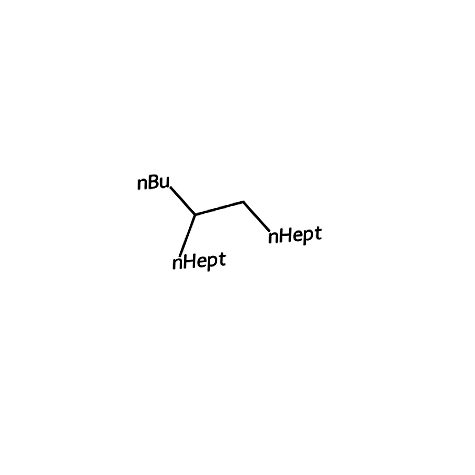 [CH2]CCCC(CCCCCCC)CCCCCCCC